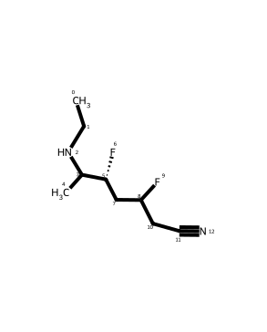 CCNC(C)[C@H](F)CC(F)CC#N